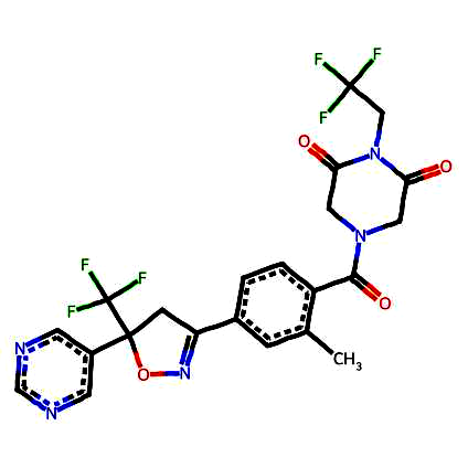 Cc1cc(C2=NOC(c3cncnc3)(C(F)(F)F)C2)ccc1C(=O)N1CC(=O)N(CC(F)(F)F)C(=O)C1